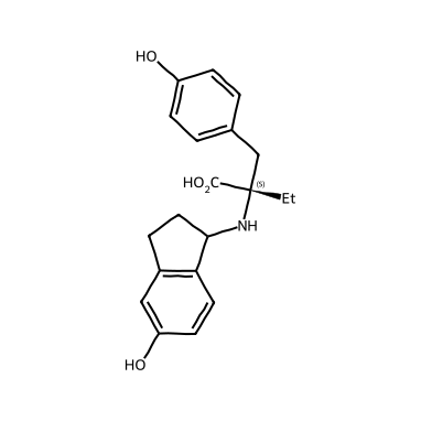 CC[C@@](Cc1ccc(O)cc1)(NC1CCc2cc(O)ccc21)C(=O)O